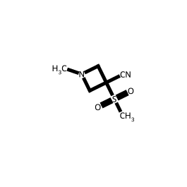 CN1CC(C#N)(S(C)(=O)=O)C1